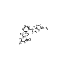 CN1CCC2(CCN(c3ncncc3Oc3c(Cl)cc(F)cc3Cl)C2)C1